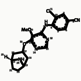 COc1c(Nc2ccc(C#N)cc2Cl)ncnc1OC1CC2CC[C@@H](C1)N2